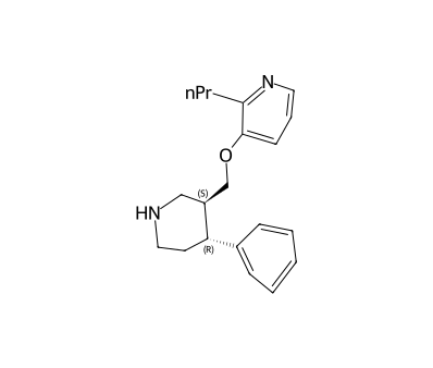 CCCc1ncccc1OC[C@@H]1CNCC[C@H]1c1ccccc1